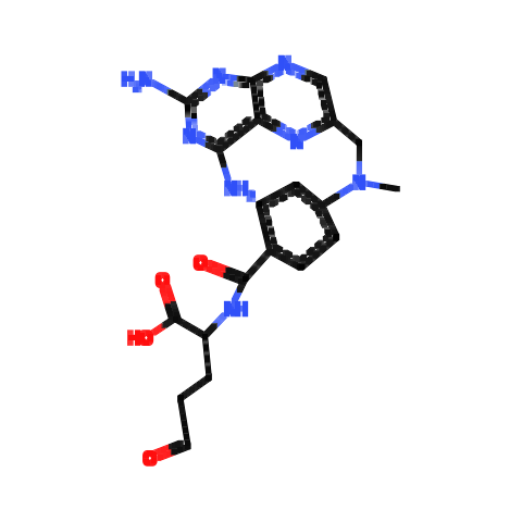 CN(Cc1cnc2nc(N)nc(N)c2n1)c1ccc(C(=O)NC(CCC=O)C(=O)O)cc1